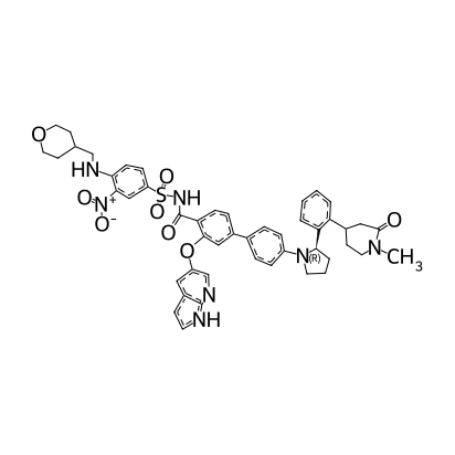 CN1CCC(c2ccccc2[C@H]2CCCN2c2ccc(-c3ccc(C(=O)NS(=O)(=O)c4ccc(NCC5CCOCC5)c([N+](=O)[O-])c4)c(Oc4cnc5[nH]ccc5c4)c3)cc2)CC1=O